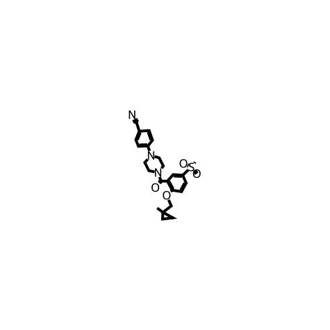 CC1(COc2ccc(S(C)(=O)=O)cc2C(=O)N2CCN(c3ccc(C#N)cc3)CC2)CC1